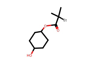 CCC(C)(C)C(=O)OC1CCC(O)CC1